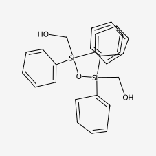 OC[Si](O[Si](CO)(c1ccccc1)c1ccccc1)(c1ccccc1)c1ccccc1